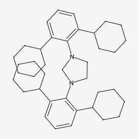 c1cc(C2CCCCC2)c(N2CCN(c3c(C4CCCCC4)cccc3C3CCCCC3)C2)c(C2CCCCC2)c1